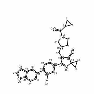 O=C(C1CC1)N1CC[C@@H](CN2C(=O)C3(CC3)N=C2c2ccc(-c3ccc4occc4c3)c(F)c2)C1